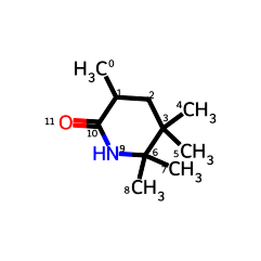 CC1CC(C)(C)C(C)(C)NC1=O